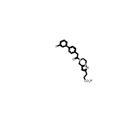 O=C(O)CCc1cc2n(n1)CCN(C(=O)Cc1ccc(-c3cccc(F)c3)cc1)C2